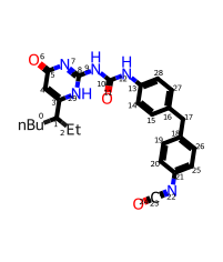 CCCCC(CC)c1cc(=O)nc(NC(=O)Nc2ccc(Cc3ccc(N=C=O)cc3)cc2)[nH]1